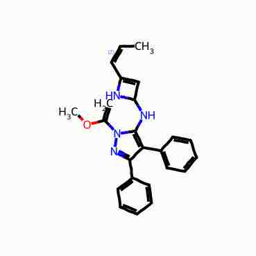 C=C(OC)n1nc(-c2ccccc2)c(-c2ccccc2)c1NC1C=C(/C=C\C)N1